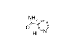 I.NC(=O)c1cccnc1